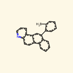 Bc1ccccc1-c1cc2c3cccnc3ccc2c2ccccc12